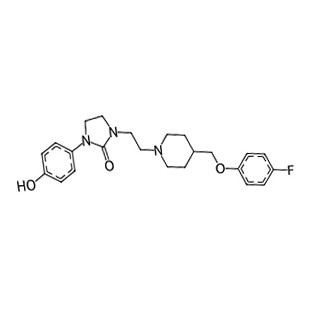 O=C1N(CCN2CCC(COc3ccc(F)cc3)CC2)CCN1c1ccc(O)cc1